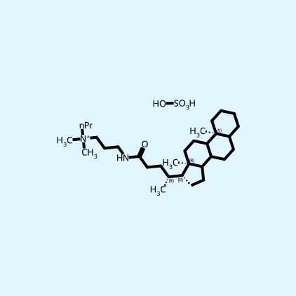 CCC[N+](C)(C)CCCNC(=O)CC[C@@H](C)[C@H]1CCC2C3CCC4CCCC[C@]4(C)C3CC[C@@]21C.O=S(=O)(O)O